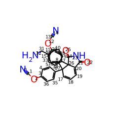 N#COc1ccc(C2(c3ccc(OC#N)cc3)C=CC=C3C(=O)NC(=O)C32c2ccc(CN)cc2)cc1